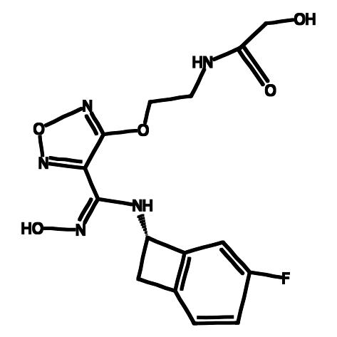 O=C(CO)NCCOc1nonc1/C(=N\O)N[C@H]1Cc2ccc(F)cc21